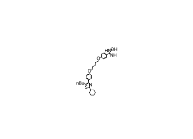 CCCCc1sc(C2CCCCC2)nc1-c1ccc(OCCCCCOc2ccc(C(=N)NO)cc2)cc1